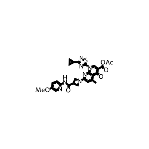 COc1ccc(NC(=O)C2CN(c3cc(C)c4c(=O)c(C(=O)OC(C)=O)cn(-c5nc(C6CC6)ns5)c4n3)C2)nc1